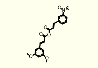 COc1cc(/C=C/C(=O)OC(=O)/C=C/c2cccc([N+](=O)[O-])c2)cc(OC)c1